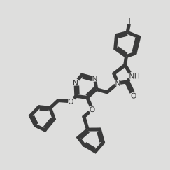 O=C1NC(c2ccc(I)cc2)CN1Cc1ncnc(OCc2ccccc2)c1OCc1ccccc1